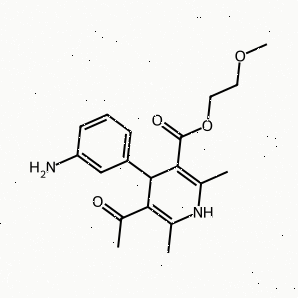 COCCOC(=O)C1=C(C)NC(C)=C(C(C)=O)C1c1cccc(N)c1